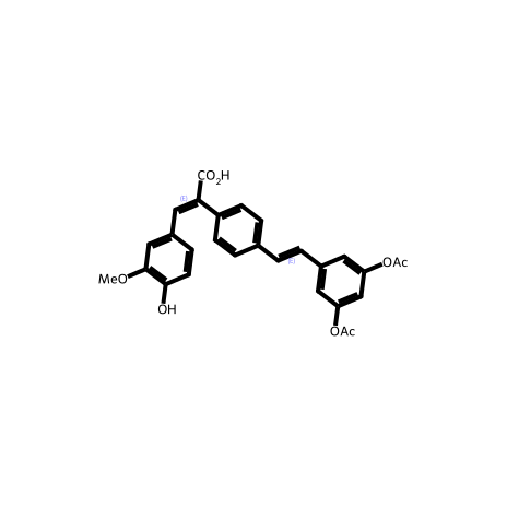 COc1cc(/C=C(/C(=O)O)c2ccc(/C=C/c3cc(OC(C)=O)cc(OC(C)=O)c3)cc2)ccc1O